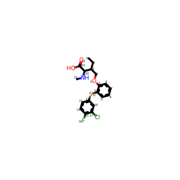 CCC(COc1ccccc1Sc1ccc(F)c(Cl)c1)C(NC)C(=O)O